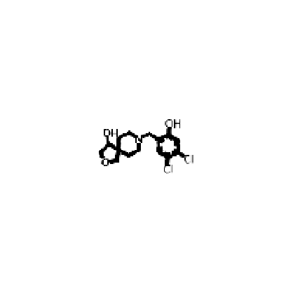 Oc1cc(Cl)c(Cl)cc1CN1CCC2(CC1)COCC2O